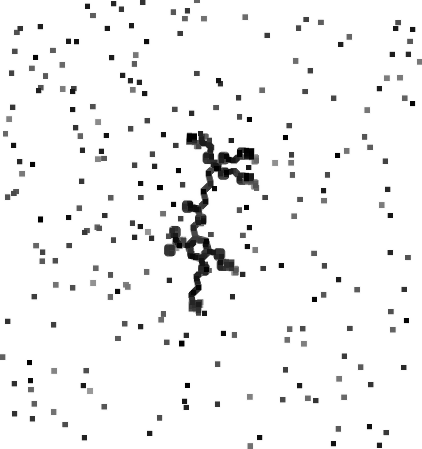 CCO[Si](CCCCC(=O)OCc1cc(OC)c(OCC[CH2][Rf])cc1[N+](=O)[O-])(OCC)OCC